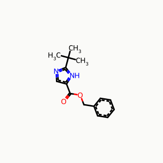 CC(C)(C)c1ncc(C(=O)OCc2ccccc2)[nH]1